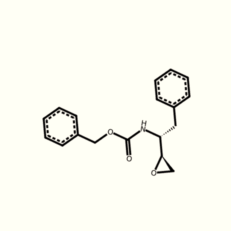 O=C(N[C@H](Cc1ccccc1)[C@H]1CO1)OCc1ccccc1